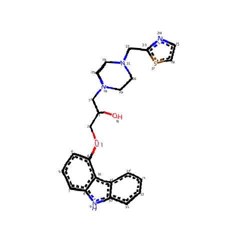 OC(COc1cccc2[nH]c3ccccc3c12)CN1CCN(Cc2nccs2)CC1